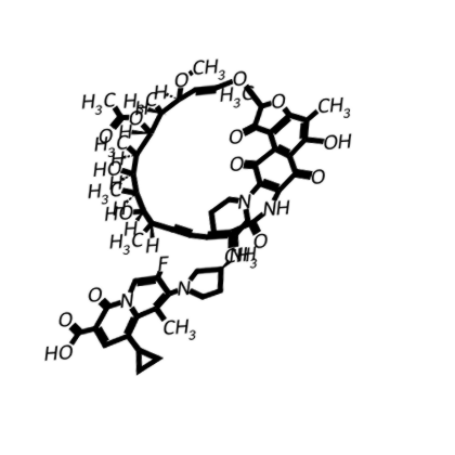 CO[C@H]1/C=C/O[C@@]2(C)Oc3c(C)c(O)c4c(c3C2=O)C(=O)C(N2CCCC(N[C@H]3CCN(c5c(F)cn6c(=O)c(C(=O)O)cc(C7CC7)c6c5C)C3)C2)=C(NC(=O)/C(C)=C\C=C\[C@H](C)[C@H](O)[C@@H](C)[C@@H](O)[C@@H](C)[C@H](OC(C)=O)[C@@H]1C)C4=O